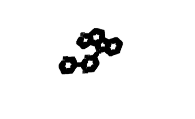 c1cncc(-c2nccc(-n3c4ccccc4c4ccc5sccc5c43)n2)c1